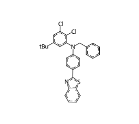 CC(C)(C)c1cc(Cl)c(Cl)c(N(Cc2ccccc2)c2ccc(-c3nc4ccccc4s3)cc2)c1